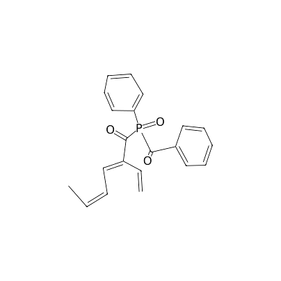 C=C/C(=C\C=C/C)C(=O)P(=O)(C(=O)c1ccccc1)c1ccccc1